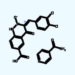 NC(=O)c1ccncc1.O=C(O)c1ccc2c(c1)C(=O)/C(=C\c1ccc(Cl)c(Cl)c1)[S+]([O-])N2